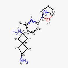 Cc1nc(N2CC3CCC2CO3)ccc1C1(N)CC2(CC(N)C2)C1